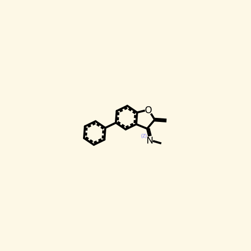 C=C1Oc2ccc(-c3ccccc3)cc2/C1=N/C